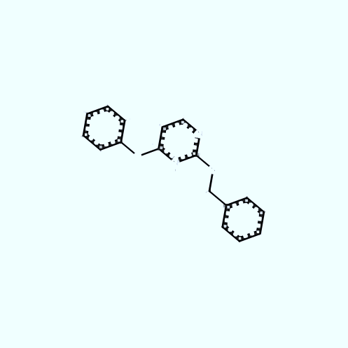 c1ccc(CNc2nccc(Sc3ccccc3)n2)cc1